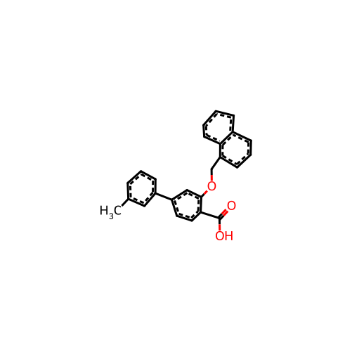 Cc1cccc(-c2ccc(C(=O)O)c(OCc3cccc4ccccc34)c2)c1